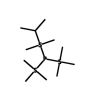 CC(C)S(C)(C)P(S(C)(C)C)S(C)(C)C